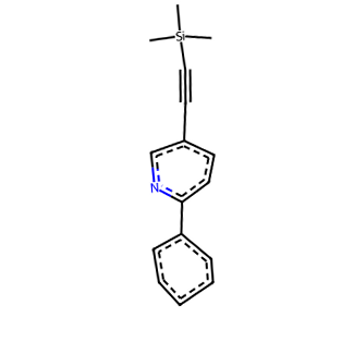 C[Si](C)(C)C#Cc1ccc(-c2ccccc2)nc1